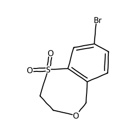 O=S1(=O)CCOCc2ccc(Br)cc21